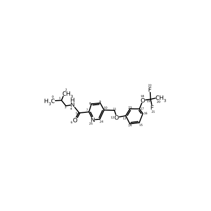 CC(C)CNC(=O)c1ccc(COc2cccc(OC(C)(F)F)c2)cn1